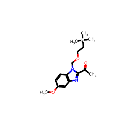 COc1ccc2c(c1)nc(C(C)=O)n2COCC[Si](C)(C)C